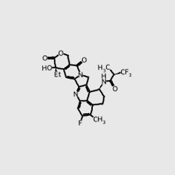 CC[C@@]1(O)C(=O)OCc2c1cc1n(c2=O)Cc2c-1nc1cc(F)c(C)c3c1c2[C@@H](NC(=O)[C@@H](C)C(F)(F)F)CC3